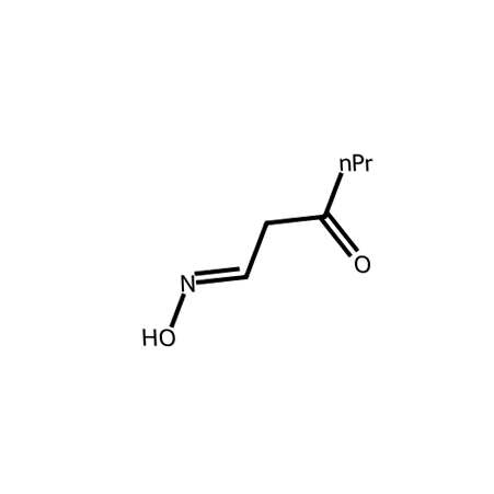 CCCC(=O)CC=NO